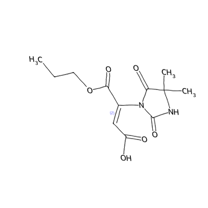 CCCOC(=O)/C(=C/C(=O)O)N1C(=O)NC(C)(C)C1=O